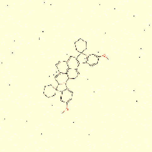 COc1ccc2c(c1)C1(CCCCC1)c1cc3ccc4cc5c(c6ccc(c1-2)c3c46)-c1ccc(OC)cc1C51CCCCC1